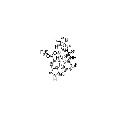 CC1(C)[C@@H]2[C@@H](C(=O)N[C@@H](C[C@@H]3CCNC3=O)C(=O)COC(F)(F)F)N(S(=O)(=O)Nc3ccccc3F)C[C@@H]21